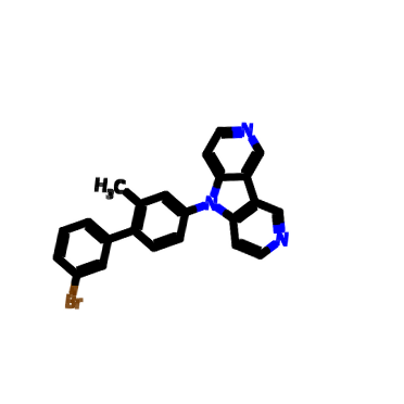 Cc1cc(-n2c3ccncc3c3cnccc32)ccc1-c1cccc(Br)c1